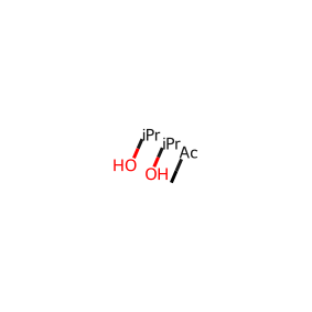 CC(C)=O.CC(C)O.CC(C)O